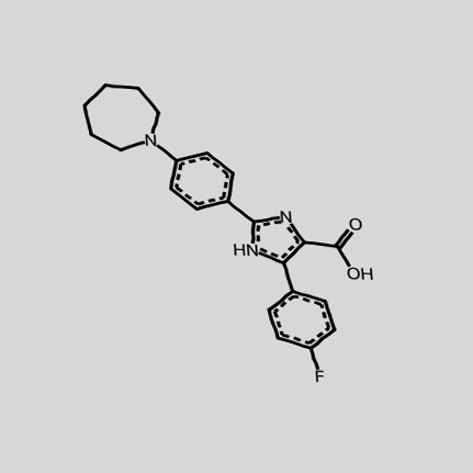 O=C(O)c1nc(-c2ccc(N3CCCCCC3)cc2)[nH]c1-c1ccc(F)cc1